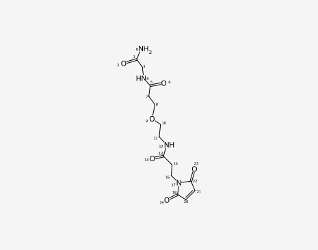 NC(=O)CNC(=O)CCOCCNC(=O)CCN1C(=O)C=CC1=O